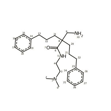 CN(C)CCNC(=O)C(CN)(CCCc1ccccc1)CCCc1ccccc1